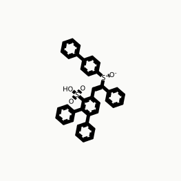 O=S(=O)(O)c1c(/C=C(\c2ccccc2)[S+]([O-])c2ccc(-c3ccccc3)cc2)ccc(-c2ccccc2)c1-c1ccccc1